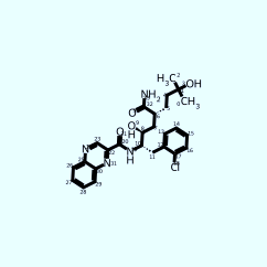 CC(C)(O)CC[C@H](C[C@H](O)[C@H](Cc1ccccc1Cl)NC(=O)c1cnc2ccccc2n1)C(N)=O